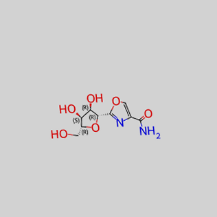 NC(=O)c1coc([C@@H]2O[C@H](CO)[C@@H](O)[C@H]2O)n1